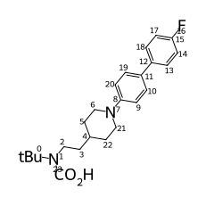 CC(C)(C)N(CCC1CCN(c2ccc(-c3ccc(F)cc3)cc2)CC1)C(=O)O